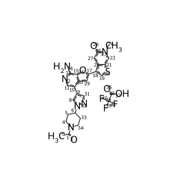 CC(=O)N1CCC(n2cc(-c3cnc(N)c4oc(-c5csc6cn(C)c(=O)cc56)cc34)cn2)CC1.O=C(O)C(F)(F)F